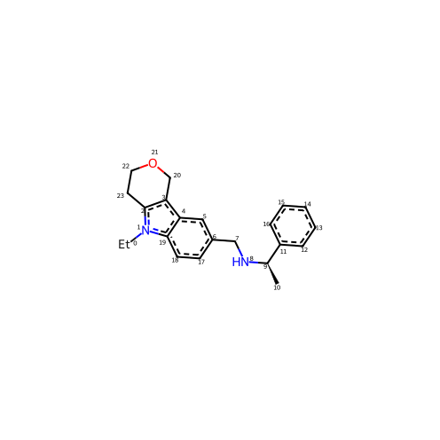 CCn1c2c(c3cc(CN[C@H](C)c4ccccc4)ccc31)COCC2